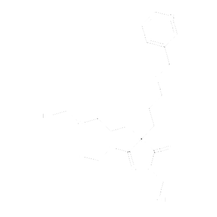 CCOCCOC(CCCSCc1cccnc1)(C(=O)OCC)C(=O)OCC